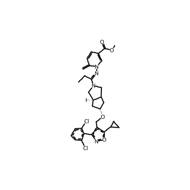 C=C1C=CC(C(=O)OC)=CN1/N=C(\CC)N1CC2C[C@H](OCc3c(-c4c(Cl)cccc4Cl)noc3C3CC3)C[C@@]2(I)C1